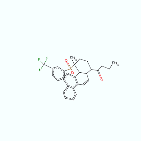 CCCC(=O)C1CCC(C)(S(=O)(=O)c2cccc(C(F)(F)F)c2)C2c3ccc4ccccc4c3C=CC12